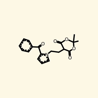 CC1(C)OC(=O)C(CCn2cccc2C(=O)c2ccccc2)C(=O)O1